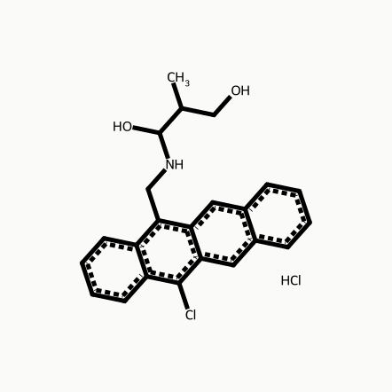 CC(CO)C(O)NCc1c2ccccc2c(Cl)c2cc3ccccc3cc12.Cl